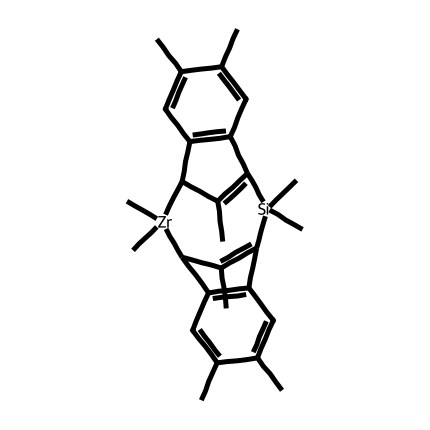 CC1=C2c3cc(C)c(C)cc3[CH]1[Zr]([CH3])([CH3])[CH]1C(C)=C(c3cc(C)c(C)cc31)[Si]2(C)C